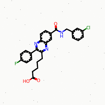 O=C(O)CCCCc1nc2cc(C(=O)NCc3cccc(Cl)c3)ccc2nc1-c1ccc(F)cc1